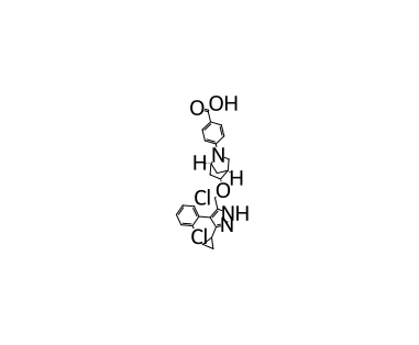 O=C(O)c1ccc(N2C[C@@H]3C[C@H]2C[C@H]3OCc2[nH]nc(C3CC3)c2-c2c(Cl)cccc2Cl)cc1